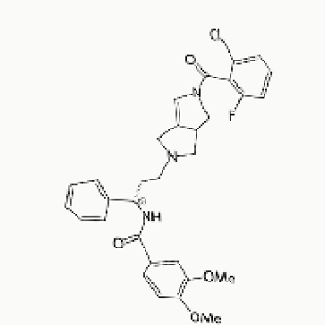 COc1ccc(C(=O)N[C@@H](CCN2CC3=CN(C(=O)c4c(F)cccc4Cl)CC3C2)c2ccccc2)cc1OC